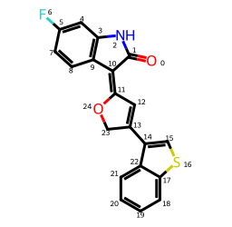 O=C1Nc2cc(F)ccc2/C1=C1/C=C(c2csc3ccccc23)CO1